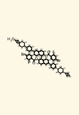 CC1C2C1C21CCC(c2ccc(-c3ccc4c(-c5c(OC(=O)c6ccc(Br)cc6F)ccc6cc(-c7ccc([C@H]8CC[C@H](C9C%10CC%109)CC8)cc7)ccc56)c(OC(=O)c5ccc(Br)cc5F)ccc4c3)cc2)CC1